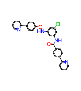 O=C(Nc1cc(Cl)cc(NOc2ccc(-c3ccccn3)cc2)c1)c1ccc(-c2ccccn2)cc1